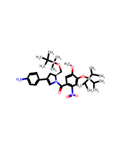 COc1cc(C(=O)N2C=C(c3ccc(N)cc3)C[C@H]2CO[Si](C)(C)C(C)(C)C)c([N+](=O)[O-])cc1O[Si](C(C)C)(C(C)C)C(C)C